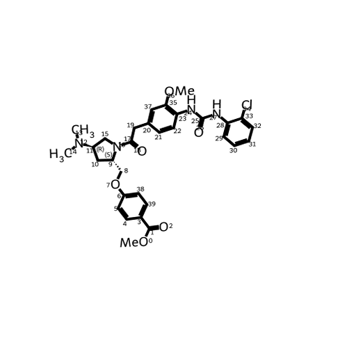 COC(=O)c1ccc(OC[C@@H]2C[C@@H](N(C)C)CN2C(=O)Cc2ccc(NC(=O)Nc3ccccc3Cl)c(OC)c2)cc1